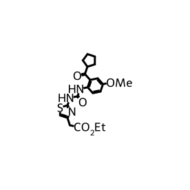 CCOC(=O)Cc1csc(NC(=O)Nc2ccc(OC)cc2C(=O)C2CCCC2)n1